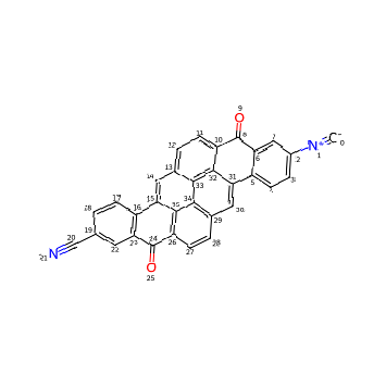 [C-]#[N+]c1ccc2c(c1)c(=O)c1ccc3cc4c5ccc(C#N)cc5c(=O)c5ccc6cc2c1c3c6c54